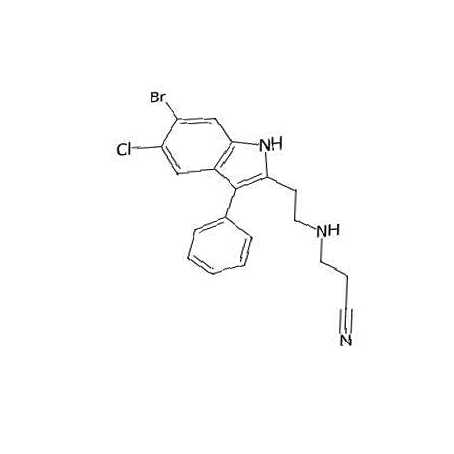 N#CCCNCCc1[nH]c2cc(Br)c(Cl)cc2c1-c1ccccc1